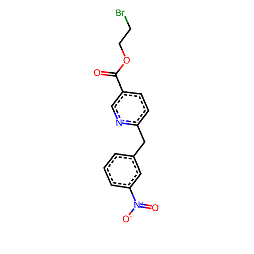 O=C(OCCBr)c1ccc(Cc2cccc([N+](=O)[O-])c2)nc1